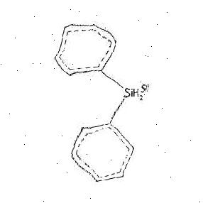 [Si].c1ccc([SiH2]c2ccccc2)cc1